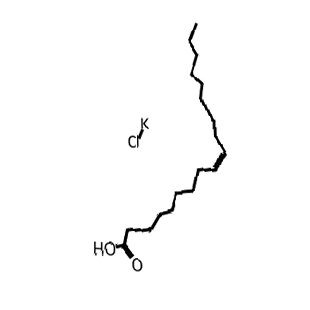 CCCCCCCC/C=C\CCCCCCCC(=O)O.[Cl][K]